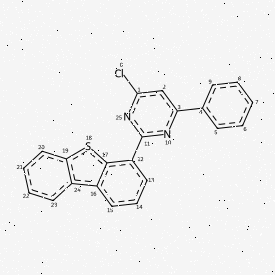 Clc1cc(-c2ccccc2)nc(-c2cccc3c2sc2ccccc23)n1